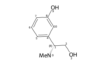 CN[C@@H](CO)c1cccc(O)c1